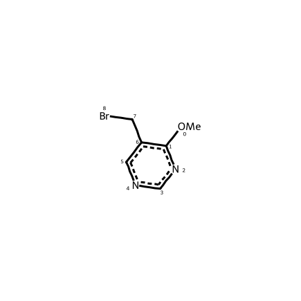 COc1ncncc1CBr